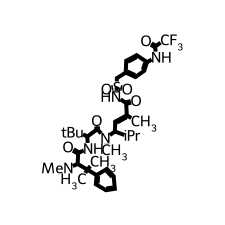 CNC(C(=O)NC(C(=O)N(C)C(C=C(C)C(=O)NS(=O)(=O)Cc1ccc(NC(=O)C(F)(F)F)cc1)C(C)C)C(C)(C)C)C(C)(C)c1ccccc1